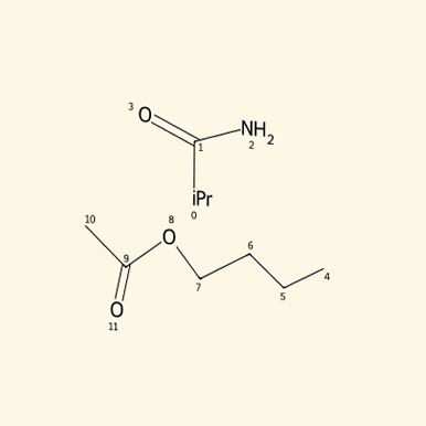 CC(C)C(N)=O.CCCCOC(C)=O